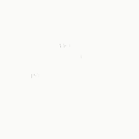 OC[C@H]1CC=C[C@H]1O